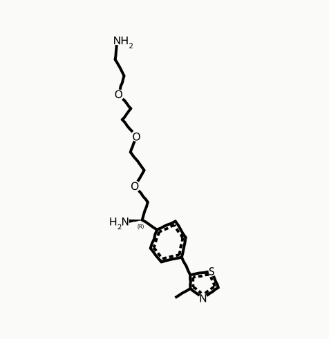 Cc1ncsc1-c1ccc([C@@H](N)COCCOCCOCCN)cc1